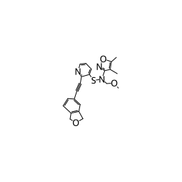 COCN(Sc1cccnc1C#Cc1ccc2c(c1)COC2)c1noc(C)c1C